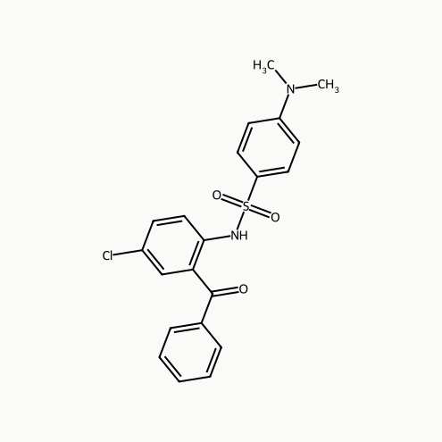 CN(C)c1ccc(S(=O)(=O)Nc2ccc(Cl)cc2C(=O)c2ccccc2)cc1